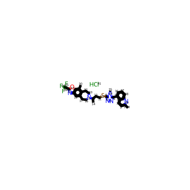 Cc1ccc2c(-c3nnc(SCCC(C)N4CCc5cc6nc(C(F)(F)F)oc6c(C)c5CC4)n3C)cccc2n1.Cl